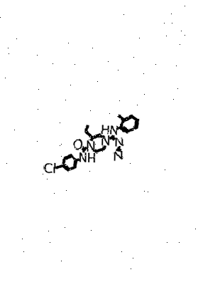 CCC1CN(/C(=N\C#N)Nc2ccccc2C)CCN1C(=O)Nc1ccc(Cl)cc1